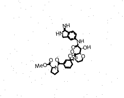 COC(=O)[C@@H]1CCCN1C(=O)C1=CC(C)(N2CCO[C@H]([C@@H](O)C(=O)Nc3ccc4c(c3)CNC4=N)C2=O)CC=C1